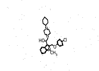 Cn1c(COc2ccc(Cl)cc2)c(C(O)CN2CCN(C3CCCCC3)CC2)c2ccccc21